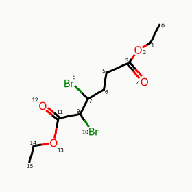 CCOC(=O)CCC(Br)C(Br)C(=O)OCC